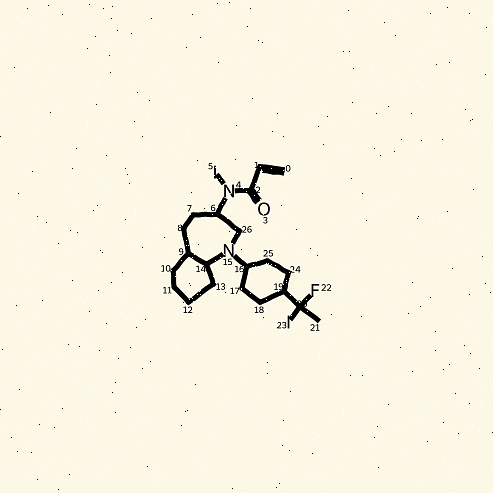 C=CC(=O)N(I)C1CCC2CCCCC2N(C2CCC(C(C)(F)I)CC2)C1